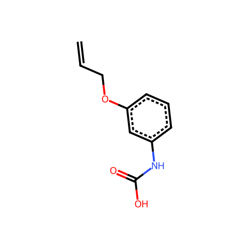 C=CCOc1cccc(NC(=O)O)c1